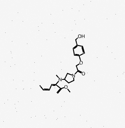 C=C(OC)/C(=C\C=C/C)N(C)C1CCN(C(=O)COc2ccc(CO)cc2)C1